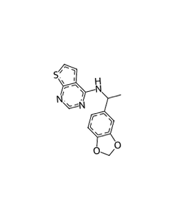 CC(Nc1ncnc2sccc12)c1ccc2c(c1)OCO2